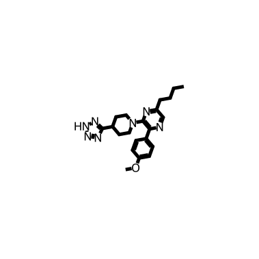 CCCCc1cnc(-c2ccc(OC)cc2)c(N2CCC(c3nn[nH]n3)CC2)n1